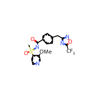 COc1cnccc1S(C)(=O)=NC(=O)c1ccc(Cc2noc(C(F)(F)F)n2)cc1